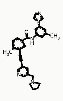 Cc1cc(NC(=O)c2ccc(C)c(C#Cc3cncc(CN4CCCC4)c3)c2)cc(-n2ccnc2)c1